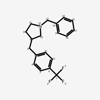 FC(F)(F)c1ccc(CC2CCN(Cc3ccccc3)C2)cc1